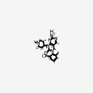 Cc1cccc(Cl)c1N1Cc2cnc(N)nc2N(C2CCN(C)CC2)C1=O